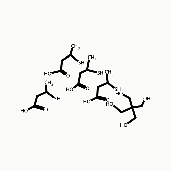 CC(S)CC(=O)O.CC(S)CC(=O)O.CC(S)CC(=O)O.CC(S)CC(=O)O.OCC(CO)(CO)CO